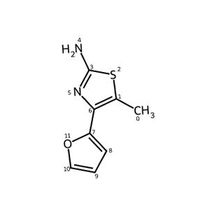 Cc1sc(N)nc1-c1ccco1